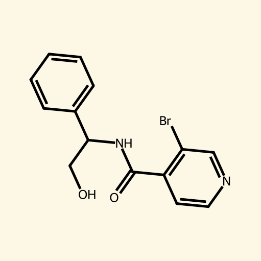 O=C(NC(CO)c1ccccc1)c1ccncc1Br